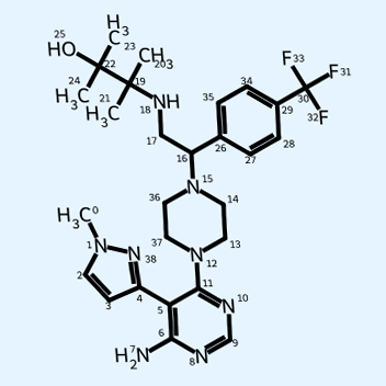 Cn1ccc(-c2c(N)ncnc2N2CCN(C(CNC(C)(C)C(C)(C)O)c3ccc(C(F)(F)F)cc3)CC2)n1